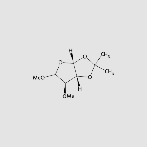 COC1O[C@@H]2OC(C)(C)O[C@@H]2[C@H]1OC